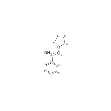 N.c1ccc(COC2CCCC2)cc1